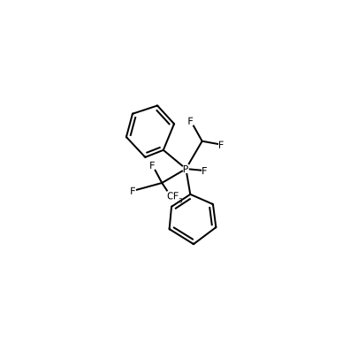 FC(F)P(F)(c1ccccc1)(c1ccccc1)C(F)(F)C(F)(F)F